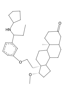 CCC(NC1CCCC1)c1cccc(OCC[C@]23CCC4C(CCC5CC(=O)CC[C@@]54C)C2CC[C@@H]3OC)c1